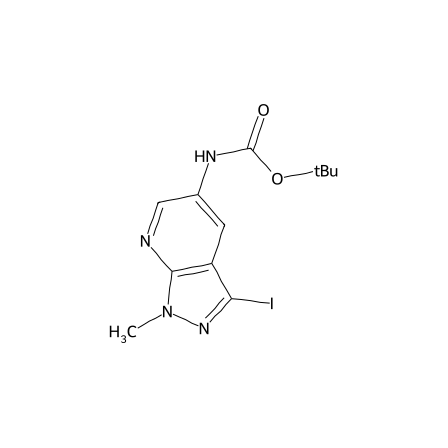 Cn1nc(I)c2cc(NC(=O)OC(C)(C)C)cnc21